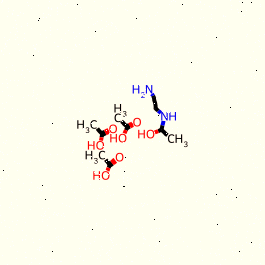 CC(=O)O.CC(=O)O.CC(=O)O.CC(O)NCCN